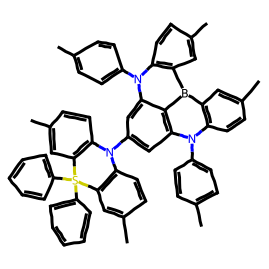 Cc1ccc(N2c3ccc(C)cc3B3c4cc(C)ccc4N(c4ccc(C)cc4)c4cc(N5c6ccc(C)cc6S(c6ccccc6)(c6ccccc6)c6cc(C)ccc65)cc2c43)cc1